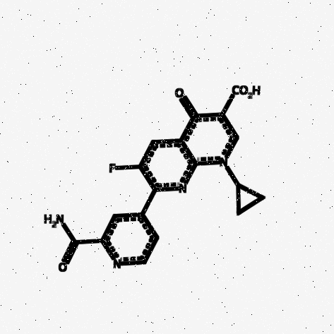 NC(=O)c1cc(-c2nc3c(cc2F)c(=O)c(C(=O)O)cn3C2CC2)ccn1